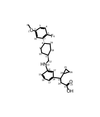 COc1ccc(F)c([C@H]2CC[C@H](CNc3cccc(C(CC(=O)O)C4CC4)c3)CC2)c1